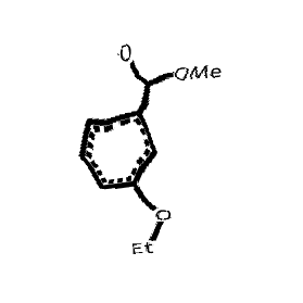 CCOc1cccc(C([O])OC)c1